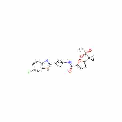 CS(=O)(=O)C1(c2ccc(C(=O)NC34CC(c5nc6ccc(F)cc6s5)(C3)C4)o2)CC1